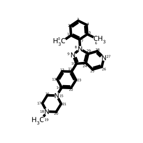 Cc1cccc(C)c1-n1nc(-c2ccc(N3CCN(C)CC3)cc2)c2ccncc21